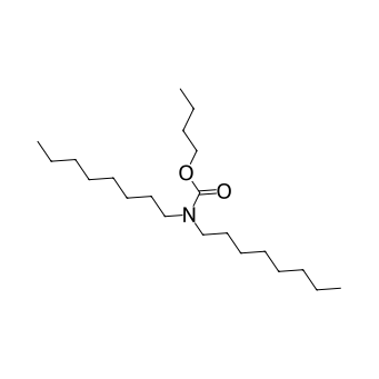 CCCCCCCCN(CCCCCCCC)C(=O)OCCCC